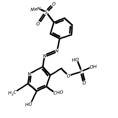 CNS(=O)(=O)c1cccc(N=Nc2nc(C)c(O)c(C=O)c2COP(=O)(O)O)c1